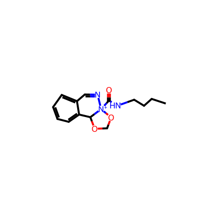 CCCCNC(=O)[N+]12N=Cc3ccccc3C1OCO2